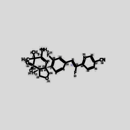 CC1(C)C(N)=N[C@@]2(c3ccc(/C=C(\F)c4ccc(C#N)cn4)cc3F)COC[C@H]2S1(=O)=O